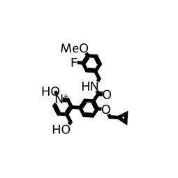 COc1ccc(CNC(=O)c2cc(-c3c[n+](O)ccc3CO)ccc2OCC2CC2)cc1F